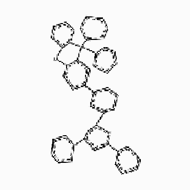 c1ccc(-c2cc(-c3ccccc3)nc(-c3cccc(-c4ccc5c(c4)C(c4ccccc4)(c4ccccc4)c4ccccc4O5)c3)c2)cc1